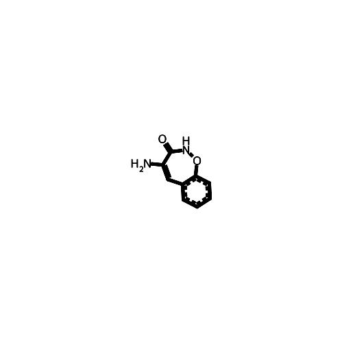 NC1=Cc2ccccc2ONC1=O